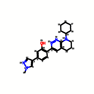 Cn1cc(-c2ccc(-c3cc4c(nn3)N(C3CCCCC3)CCC4)c(O)c2)cn1